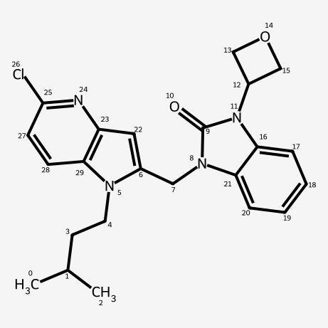 CC(C)CCn1c(Cn2c(=O)n(C3COC3)c3ccccc32)cc2nc(Cl)ccc21